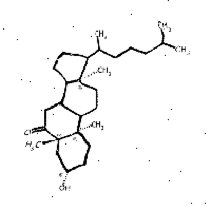 CC(C)CCCC(C)C1CCC2C3CC(=O)[C@@]4(C)C[C@@H](O)CC[C@]4(C)C3CC[C@]12C